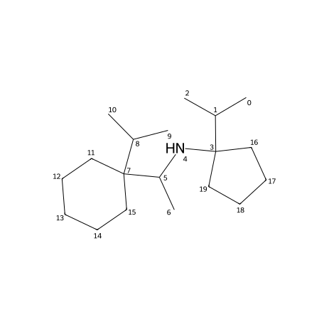 CC(C)C1(NC(C)C2(C(C)C)CCCCC2)CCCC1